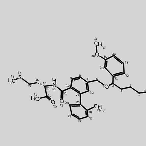 CCCCC(OCc1ccc(C(=O)N[C@@H](CCSC)C(=O)O)c(-c2ccccc2C)c1)c1cccc(OC)c1